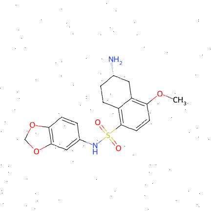 COc1ccc(S(=O)(=O)Nc2ccc3c(c2)OCO3)c2c1C[C@@H](N)CC2